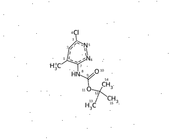 Cc1cc(Cl)nnc1NC(=O)OC(C)(C)C